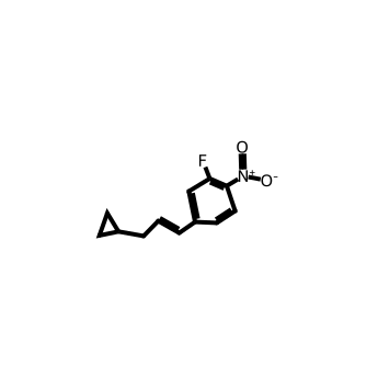 O=[N+]([O-])c1ccc(C=CCC2CC2)cc1F